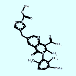 COc1ccc(C)c(-n2c(N)c(C(N)=O)c3ncc(Cc4cnn(C(=O)OC(C)(C)C)c4)cc3c2=O)c1C